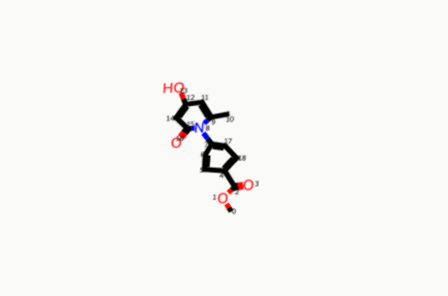 COC(=O)c1ccc(-n2c(C)cc(O)cc2=O)cc1